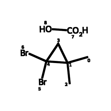 CC1(C)CC1(Br)Br.O=C(O)O